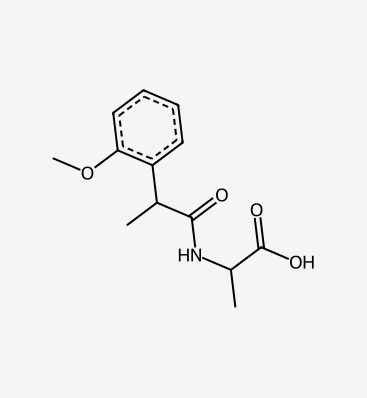 COc1ccccc1C(C)C(=O)NC(C)C(=O)O